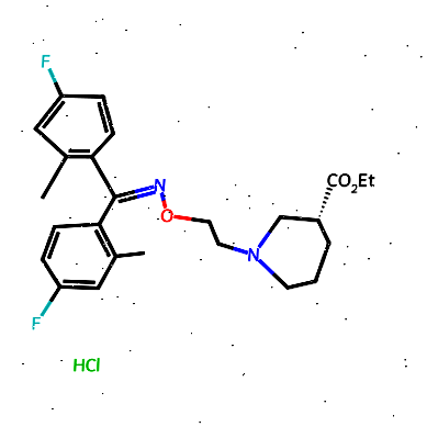 CCOC(=O)[C@@H]1CCCN(CCON=C(c2ccc(F)cc2C)c2ccc(F)cc2C)C1.Cl